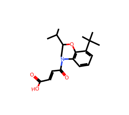 CC(C)C1CN(C(=O)/C=C/C(=O)O)c2cccc(C(C)(C)C)c2O1